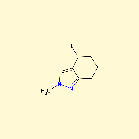 Cn1cc2c(n1)CCCC2I